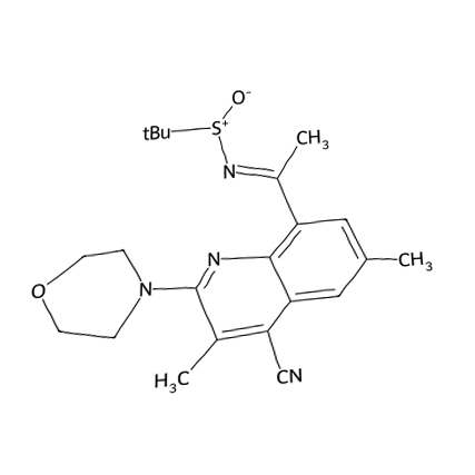 CC(=N[S+]([O-])C(C)(C)C)c1cc(C)cc2c(C#N)c(C)c(N3CCOCC3)nc12